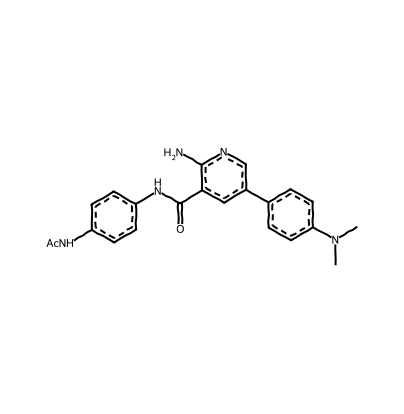 CC(=O)Nc1ccc(NC(=O)c2cc(-c3ccc(N(C)C)cc3)cnc2N)cc1